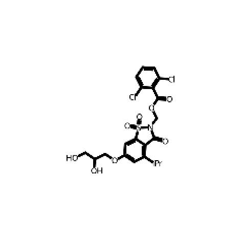 CC(C)c1cc(OCC(O)CO)cc2c1C(=O)N(COC(=O)c1c(Cl)cccc1Cl)S2(=O)=O